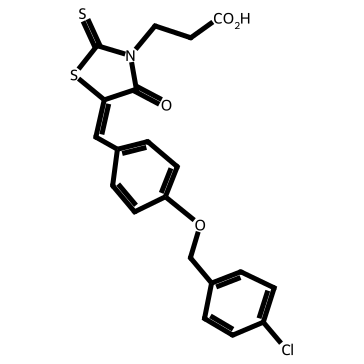 O=C(O)CCN1C(=O)/C(=C\c2ccc(OCc3ccc(Cl)cc3)cc2)SC1=S